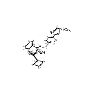 Cn1cnc(C2CCN(CCC(NC(=O)C3CCC3)c3ccccc3)CC2)n1